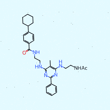 CC(=O)NCCNc1nc(-c2ccccc2)nc(NCCNC(=O)c2ccc(C3CCCCC3)cc2)c1C